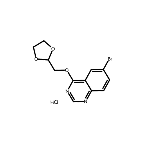 Brc1ccc2ncnc(OCC3OCCO3)c2c1.Cl